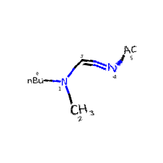 CCCCN(C)/C=N/C(C)=O